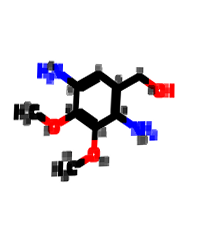 COc1c(N)cc(CO)c(N)c1OC